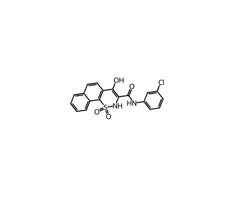 O=C(Nc1cccc(Cl)c1)C1=C(O)c2ccc3ccccc3c2S(=O)(=O)N1